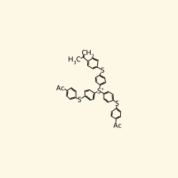 C=C(C)c1ccc(Sc2ccc([S+](c3ccc(Sc4ccc(C(C)=O)cc4)cc3)c3ccc(Sc4ccc(C(C)=O)cc4)cc3)cc2)cc1